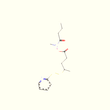 CC(CCC(=O)ON(C)C(=O)CCC=O)SSc1ccccn1